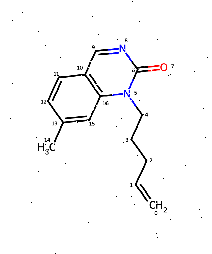 C=CCCCn1c(=O)ncc2ccc(C)cc21